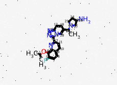 CC(C)Oc1c(F)ccc2ccc(-c3nnc4ccc([C@H](C)N5CC[C@H](N)C5)cn34)nc12